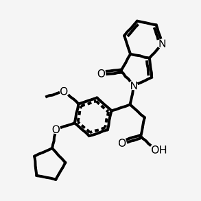 COc1cc(C(CC(=O)O)N2C=C3N=CC=CC3C2=O)ccc1OC1CCCC1